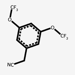 N#CCc1cc(OC(F)(F)F)cc(OC(F)(F)F)c1